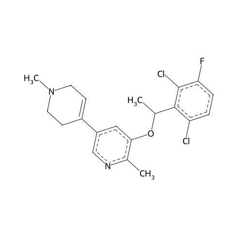 Cc1ncc(C2=CCN(C)CC2)cc1OC(C)c1c(Cl)ccc(F)c1Cl